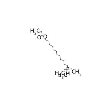 C=CC(=O)OCCCCCCCCCCCC[PH](CC)(CC)CC